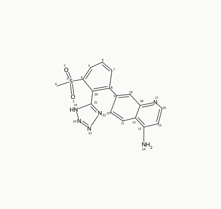 CS(=O)(=O)c1cccc(-c2ccc3c(N)ccnc3c2)c1-c1nnn[nH]1